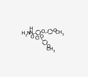 COc1ccc(COc2ccc(C(=O)NN)c(Cl)c2OCc2ccc(OC)cc2)cc1